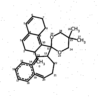 CC1CC=C2C=CCCC2=C1C1(C2C=c3ccccc3=CCC2)OCC(C)(C)CO1